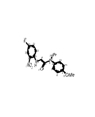 COc1ccc(N(C(=O)CNc2ccc(F)cc2[N+](=O)[O-])C(C)C)cc1